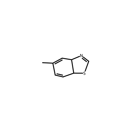 CC1=CC2N=CSC2C=C1